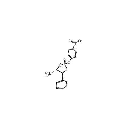 C[C@@H]1OP(=S)(Oc2ccc([N+](=O)[O-])cc2)S[C@H]1c1ccccc1